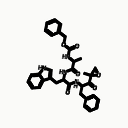 CC(NC(=O)OCc1ccccc1)C(=O)NC(Cc1c[nH]c2ccccc12)C(=O)NC(Cc1ccccc1)C(=O)C1(C)CO1